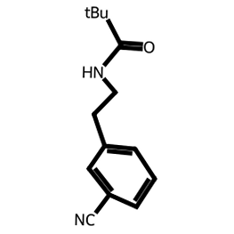 CC(C)(C)C(=O)NCCc1cccc(C#N)c1